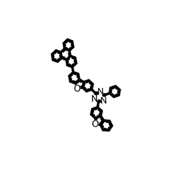 c1ccc(-c2nc(-c3ccc4c(c3)oc3ccc(-c5ccc6c7ccccc7c7ccccc7c6c5)cc34)nc(-c3ccc4oc5ccccc5c4c3)n2)cc1